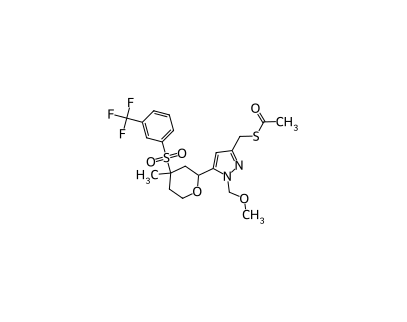 COCn1nc(CSC(C)=O)cc1C1CC(C)(S(=O)(=O)c2cccc(C(F)(F)F)c2)CCO1